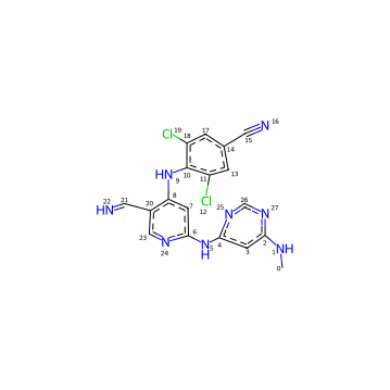 CNc1cc(Nc2cc(Nc3c(Cl)cc(C#N)cc3Cl)c(C=N)cn2)ncn1